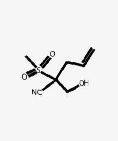 C=CCC(C#N)(CO)S(C)(=O)=O